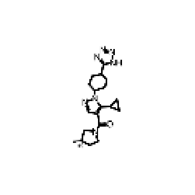 C[C@@H]1CCN(C(=O)c2cnn(C3CCC(c4nnn[nH]4)CC3)c2C2CC2)C1